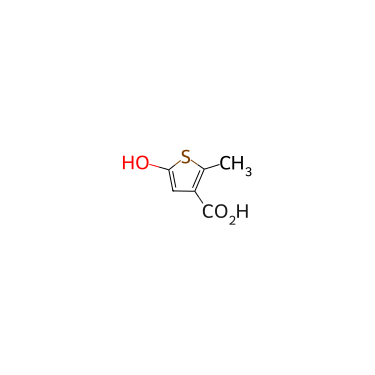 Cc1sc(O)cc1C(=O)O